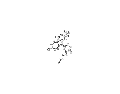 COCCC[C@H]1CN(c2c3ncc(Cl)ccc-3c3c2C=C(C(F)(F)F)SN3)CCN1C